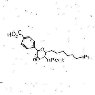 CCCCCC(CCC)C(CCCCCCC(C)C)OC(=O)c1ccc(C(=O)O)cc1